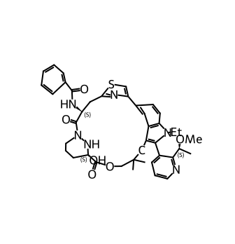 CCn1c(-c2cccnc2[C@H](C)OC)c2c3cc(ccc31)-c1csc(n1)C[C@H](NC(=O)c1ccccc1)C(=O)N1CCC[C@@](O)(N1)C(=O)OCC(C)(C)C2